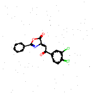 O=C1OC(c2ccccc2)=N/C1=C\C(=O)c1ccc(Cl)c(Cl)c1